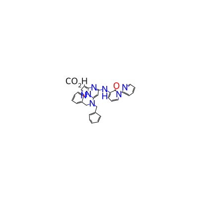 O=C(O)c1cnn2c(N(Cc3ccccc3)Cc3ccccc3)cc(Nc3cccn(-c4ccccn4)c3=O)nc12